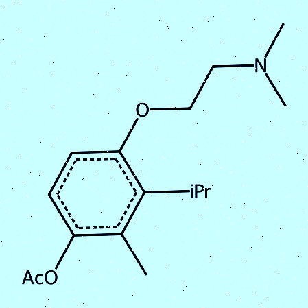 CC(=O)Oc1ccc(OCCN(C)C)c(C(C)C)c1C